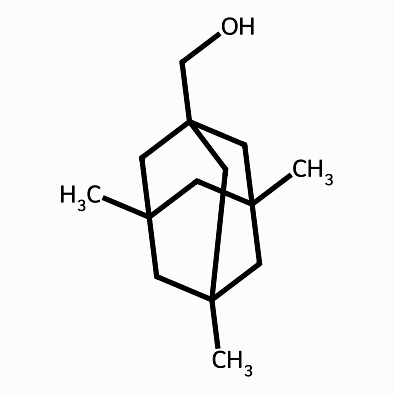 CC12CC3(C)CC(C)(C1)CC(CO)(C2)C3